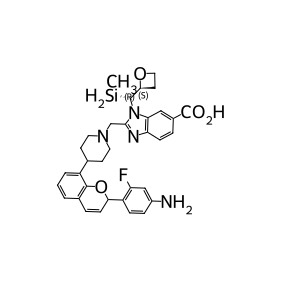 C[SiH2][C@H]([C@@H]1CCO1)n1c(CN2CCC(c3cccc4c3OC(c3ccc(N)cc3F)C=C4)CC2)nc2ccc(C(=O)O)cc21